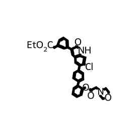 CCOC(=O)Cc1cccc(-c2cc3cc(-c4ccc(-c5ccccc5OC(=O)CN5CCOCC5)cc4)c(Cl)cc3[nH]c2=O)c1